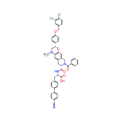 CN1C[C@H](c2ccc(OCc3ccc(Cl)c(Cl)c3)cc2)Oc2cc3c(cc21)C[C@@H](C(=O)NC(Cc1ccc(-c2ccc(C#N)cc2)cc1)C(=O)O)N(C(=O)c1ccccc1)C3